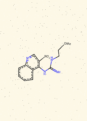 COCCNC(=N)Nc1c([N+](=O)[O-])cnc2ccccc12